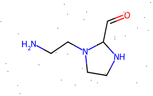 NCCN1CCNC1C=O